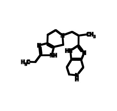 CCc1nc2c([nH]1)CN(CC(C)c1nc3c([nH]1)CCNC3)CC2